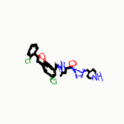 Cc1cc(C(=O)NCC2CCNCC2)nn1Cc1cc(Cl)cc2cc(-c3ccccc3Cl)oc12